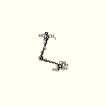 CN(C1CCC1O)n1cc(COCCOCCOCCn2cc(COCCCCCCCCC3OC(CO)C(O)C(O)C3O)nn2)nn1